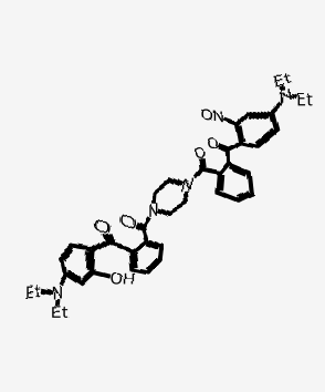 CCN(CC)c1ccc(C(=O)c2ccccc2C(=O)N2CCN(C(=O)c3ccccc3C(=O)c3ccc(N(CC)CC)cc3N=O)CC2)c(O)c1